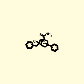 NC(=S)C12CC3CC(c4ccccc4)(CC1C3(Cl)Cc1ccccc1)C2